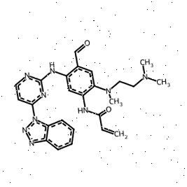 C=CC(=O)Nc1cc(Nc2nccc(-n3nnc4ccccc43)n2)c(C=O)cc1N(C)CCN(C)C